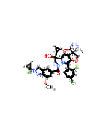 COc1cc(C(=O)NCC(O)(c2cc3c(c(-c4ccc(Cl)cc4F)n2)OC[C@]3(C)C(N)=O)C2CC2)cc2cn(C3(F)CC3)nc12